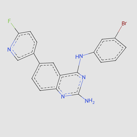 Nc1nc(Nc2cccc(Br)c2)c2cc(-c3ccc(F)nc3)ccc2n1